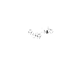 Cc1c(CC2CN(S(=O)(=O)c3ccccc3[N+](=O)[O-])C2)ccnc1[C@@H]1NC(c2ccccn2)CCC1C